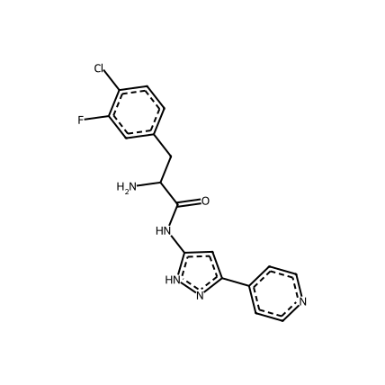 NC(Cc1ccc(Cl)c(F)c1)C(=O)Nc1cc(-c2ccncc2)n[nH]1